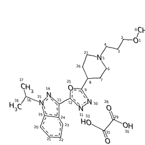 COCCCN1CCC(c2nnc(-c3nn(C(C)C)c4ccccc34)o2)CC1.O=C(O)C(=O)O